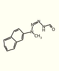 CN(/N=N\NC=O)c1ccc2ccccc2c1